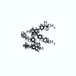 CC(=O)Nc1ccc(-c2cc3cc[nH]c(=O)c3c(Nc3ccc(C4CCN(C)CC4)cc3)n2)cn1.O=c1[nH]ccc2cc(NCC(F)(F)F)nc(Nc3cccc(OCCN4CCOCC4)c3)c12